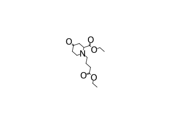 CCOC(=O)CCCN1CCC(=O)CC1C(=O)OCC